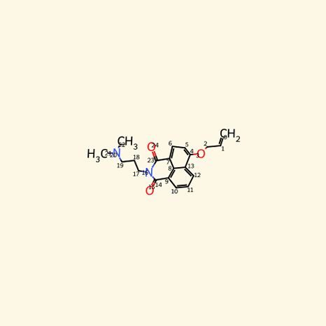 C=CCOc1ccc2c3c(cccc13)C(=O)N(CCCN(C)C)C2=O